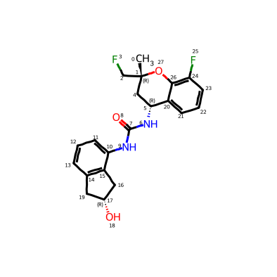 C[C@]1(CF)C[C@@H](NC(=O)Nc2cccc3c2C[C@H](O)C3)c2cccc(F)c2O1